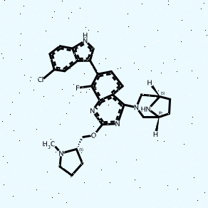 CN1CCC[C@H]1COc1nc(N2C[C@H]3CC[C@@H](C2)N3)c2ccc(-c3c[nH]c4ccc(Cl)cc34)c(F)c2n1